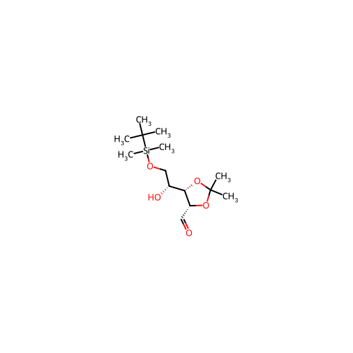 CC1(C)O[C@@H]([C@H](O)CO[Si](C)(C)C(C)(C)C)[C@@H](C=O)O1